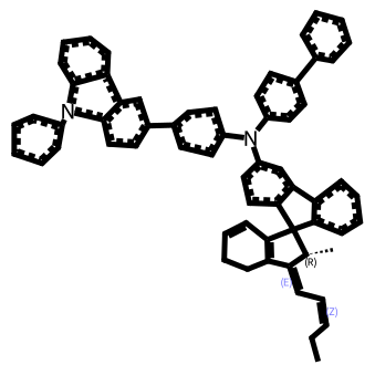 CC/C=C\C=C1\C2=C(C=CCC2)C2(c3ccccc3-c3cc(N(c4ccc(-c5ccccc5)cc4)c4ccc(-c5ccc6c(c5)c5ccccc5n6-c5ccccc5)cc4)ccc32)[C@@H]1C